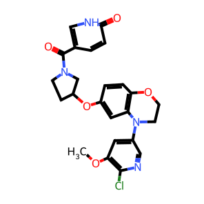 COc1cc(N2CCOc3ccc(OC4CCN(C(=O)c5ccc(=O)[nH]c5)C4)cc32)cnc1Cl